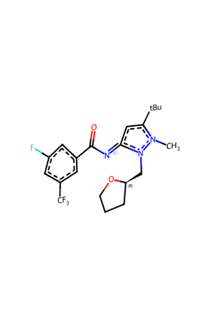 Cn1c(C(C)(C)C)c/c(=N\C(=O)c2cc(F)cc(C(F)(F)F)c2)n1C[C@H]1CCCO1